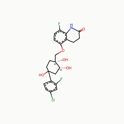 O=C1CCc2c(OC[C@]3(O)CCC(O)(c4ccc(Cl)cc4F)C[C@H]3O)ccc(F)c2N1